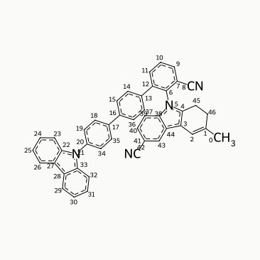 CC1=Cc2c(n(-c3c(C#N)cccc3-c3ccc(-c4ccc(-n5c6ccccc6c6ccccc65)cc4)cc3)c3ccc(C#N)cc23)CC1